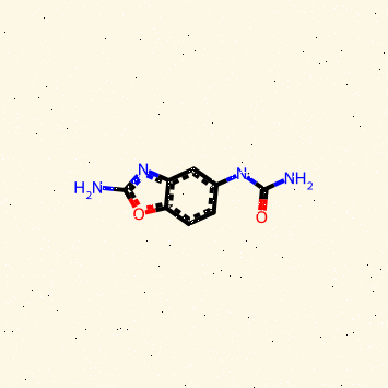 NC(=O)[N]c1ccc2oc(N)nc2c1